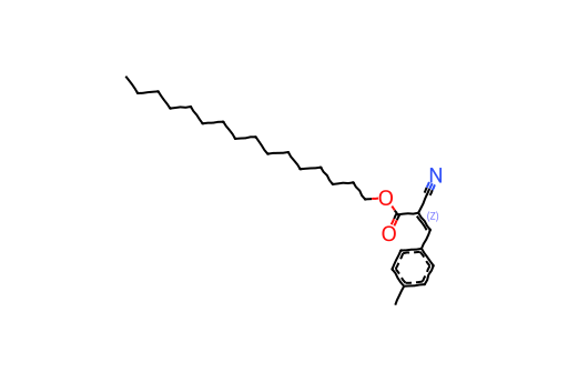 CCCCCCCCCCCCCCCCOC(=O)/C(C#N)=C\c1ccc(C)cc1